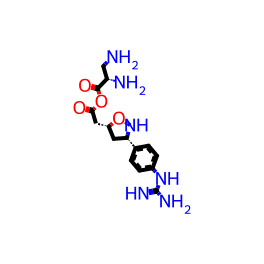 N=C(N)Nc1ccc([C@@H]2C[C@H](CC(=O)OC(=O)[C@@H](N)CN)ON2)cc1